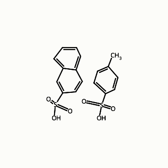 Cc1ccc(S(=O)(=O)O)cc1.O=S(=O)(O)c1ccc2ccccc2c1